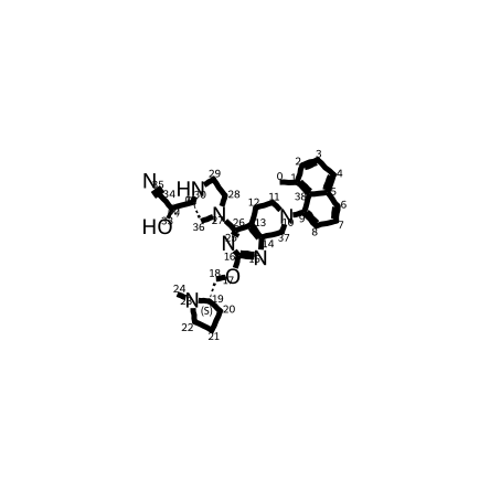 Cc1cccc2cccc(N3CCc4c(nc(OC[C@@H]5CCCN5C)nc4N4CCN[C@@H]([C@@H](O)C#N)C4)C3)c12